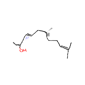 CC(C)=CCC[C@@H](C)C/C=C/C(C)O